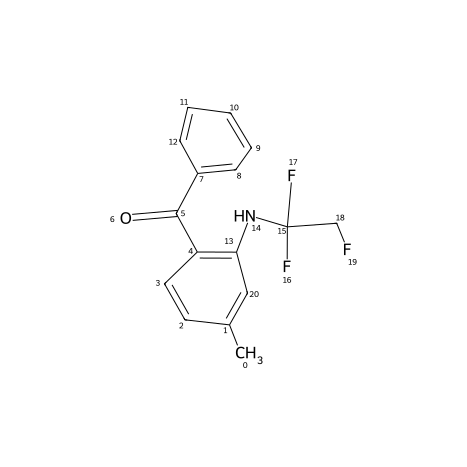 Cc1ccc(C(=O)c2ccccc2)c(NC(F)(F)CF)c1